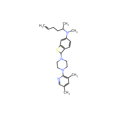 C=CCCC(C)N(C)c1ccc2c(c1)SC2N1CCN(c2ncc(C)cc2C)CC1